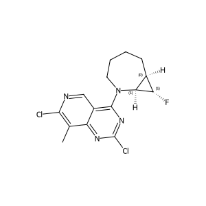 Cc1c(Cl)ncc2c(N3CCCC[C@H]4[C@H](F)[C@H]43)nc(Cl)nc12